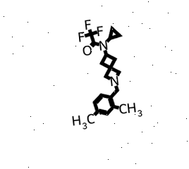 Cc1ccc(CN2CC3(CC(N(C(=O)C(F)(F)F)C4CC4)C3)C2)c(C)c1